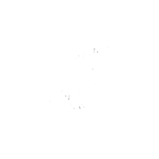 CCOc1ncccc1-c1ccc(N2CCC=CC2=O)cc1